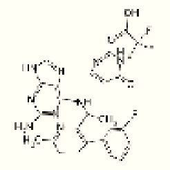 CC1=NC(C(C)Nc2nc(N)nc3[nH]cnc23)=C(c2cccc(F)c2)CC1.O=C(O)C(F)(F)F.O=c1ccnc[nH]1